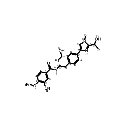 CC(C)Oc1ccc(C(=O)N[C@H](CCO)Cc2ccc(-c3cn(C)c(C(C)O)n3)cc2)cc1C#N